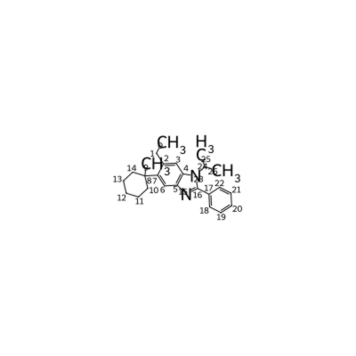 CCc1cc2c(cc1C1(C)CCCCC1)nc(-c1ccccc1)n2C(C)C